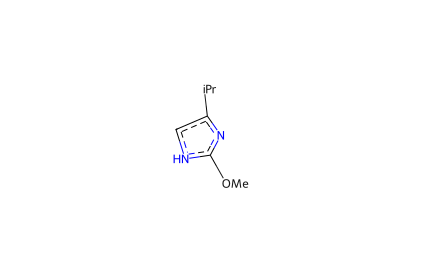 COc1nc(C(C)C)c[nH]1